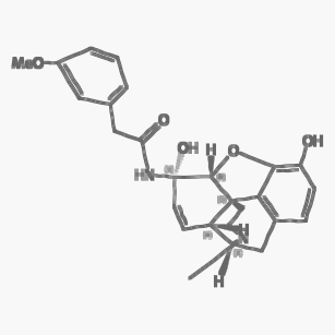 COc1cccc(CC(=O)N[C@]2(O)C=C[C@H]3[C@H]4Cc5ccc(O)c6c5[C@@]3(CCN4C)[C@H]2O6)c1